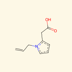 C=CCn1cccc1CC(=O)O